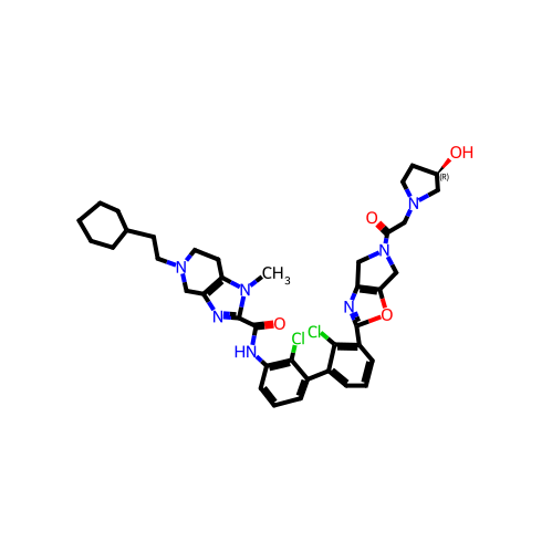 Cn1c(C(=O)Nc2cccc(-c3cccc(-c4nc5c(o4)CN(C(=O)CN4CC[C@@H](O)C4)C5)c3Cl)c2Cl)nc2c1CCN(CCC1CCCCC1)C2